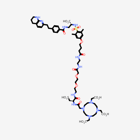 Cc1cc(OCCCC(=O)NCCNC(=O)COCCOCCNC(=O)[C@H](CS(=O)(=O)O)NC(=O)CN2CCN(CC(=O)O)CCN(CC(=O)O)CCN(CC(=O)O)CC2)cc(C)c1S(=O)(=O)N[C@H](CNC(=O)c1ccc(CCc2ccc3c(n2)NCCC3)cc1)C(=O)O